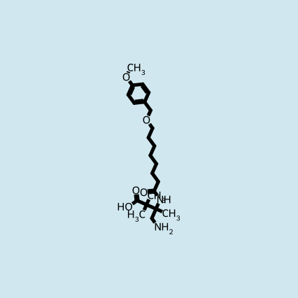 COc1ccc(COCCCCCCCC(=O)NC(C)(CN)C(C)(C)C(=O)O)cc1